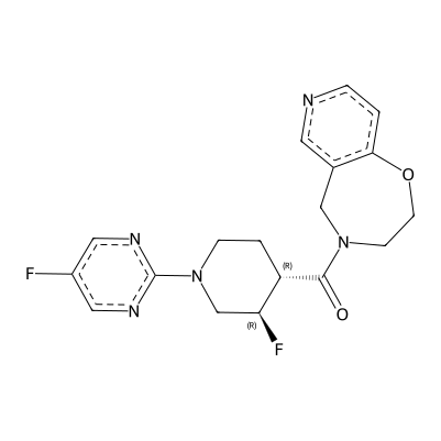 O=C([C@H]1CCN(c2ncc(F)cn2)C[C@@H]1F)N1CCOc2ccncc2C1